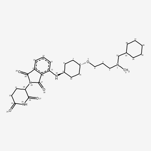 CN(CCCO[C@H]1CC[C@H](Nc2cccc3c2C(=O)N(C2CCC(=O)NC2=O)C3=O)CC1)CC1CCCCC1